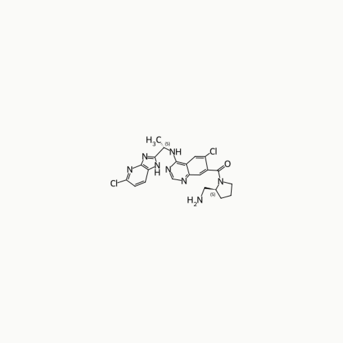 C[C@H](Nc1ncnc2cc(C(=O)N3CCC[C@H]3CN)c(Cl)cc12)c1nc2nc(Cl)ccc2[nH]1